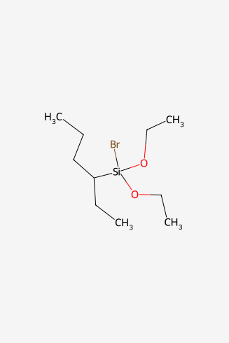 CCCC(CC)[Si](Br)(OCC)OCC